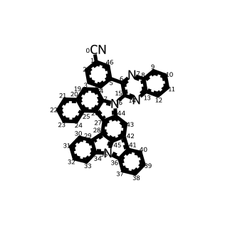 N#Cc1cccc(-c2nc3ccccc3nc2-n2c3ccc4ccccc4c3c3c4c5ccccc5n5c6ccccc6c(cc32)c45)c1